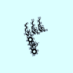 CCCC[n+]1ccn(C)c1.CCCC[n+]1ccn(C)c1.CCCC[n+]1ccn(C)c1.[O-]P([O-])([O-])=S(Cc1ccccc1)Cc1ccccc1